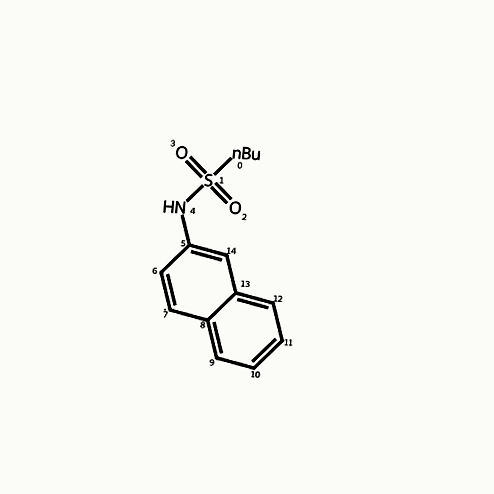 CCCCS(=O)(=O)Nc1c[c]c2ccccc2c1